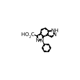 O=C(O)c1nn(-c2ccccc2)c2c1ccc1[nH]ncc12